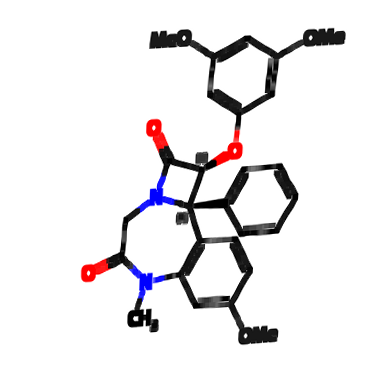 COc1cc(OC)cc(O[C@@H]2C(=O)N3CC(=O)N(C)c4cc(OC)ccc4[C@@]23c2ccccc2)c1